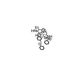 CCC(C(=N)C(=O)Cc1ccc(COc2ccccc2)cc1)c1ccn(CC(NS(=O)(=O)c2ccccc2)C(=O)O)n1